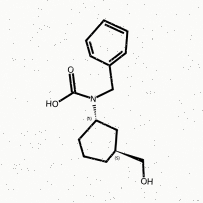 O=C(O)N(Cc1ccccc1)[C@H]1CCC[C@H](CO)C1